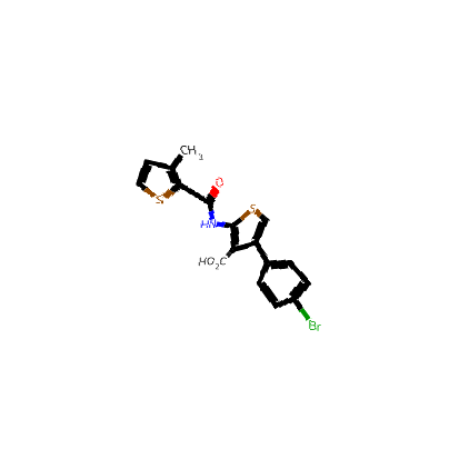 Cc1ccsc1C(=O)Nc1scc(-c2ccc(Br)cc2)c1C(=O)O